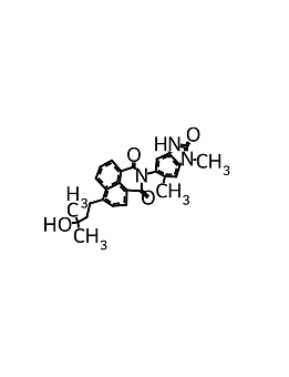 Cc1cc2c(cc1N1C(=O)c3cccc4c(CCC(C)(C)O)ccc(c34)C1=O)[nH]c(=O)n2C